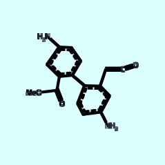 COC(=O)c1cc(N)ccc1-c1ccc(N)cc1C=C=O